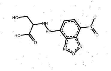 O=C(O)C(CO)NPc1ccc([N+](=O)[O-])c2nonc12